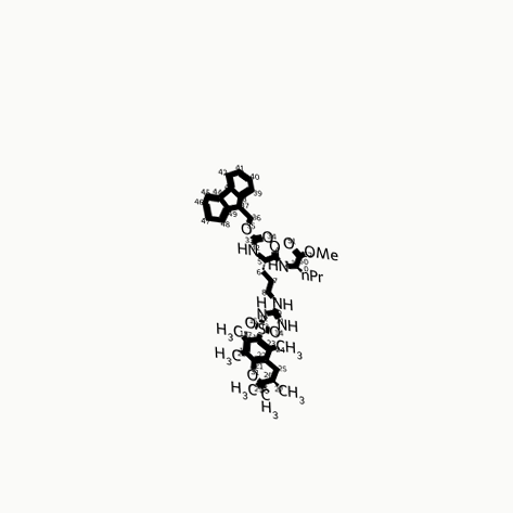 CCC[C@@H](NC(=O)[C@H](CCCNC(=N)NS(=O)(=O)c1c(C)c(C)c2c(c1C)C[C@@H](C)C(C)(C)O2)NC(=O)OCC1c2ccccc2-c2ccccc21)C(=O)OC